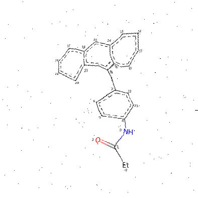 CCC(=O)Nc1ccc(-c2c3ccccc3cc3ccccc23)cc1